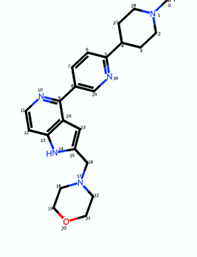 CC(C)N1CCC(c2ccc(-c3nccc4[nH]c(CN5CCOCC5)cc34)cn2)CC1